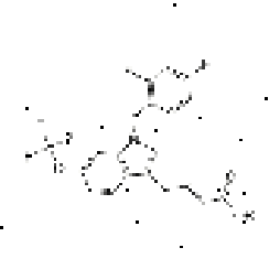 O=C(O)C=CCc1nn(Cc2ccc(F)cc2F)c2cc(OC(F)(F)F)ccc12